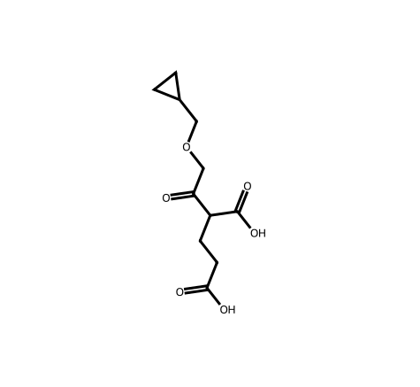 O=C(O)CCC(C(=O)O)C(=O)COCC1CC1